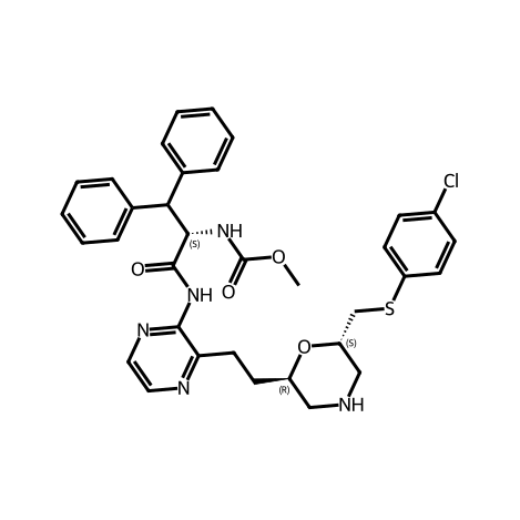 COC(=O)N[C@H](C(=O)Nc1nccnc1CC[C@@H]1CNC[C@@H](CSc2ccc(Cl)cc2)O1)C(c1ccccc1)c1ccccc1